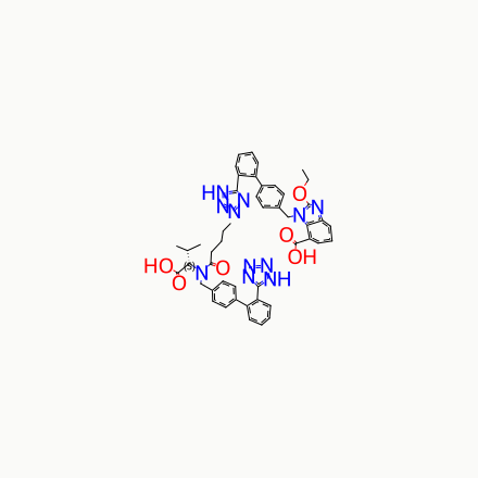 CCCCC(=O)N(Cc1ccc(-c2ccccc2-c2nnn[nH]2)cc1)[C@H](C(=O)O)C(C)C.CCOc1nc2cccc(C(=O)O)c2n1Cc1ccc(-c2ccccc2-c2nnn[nH]2)cc1